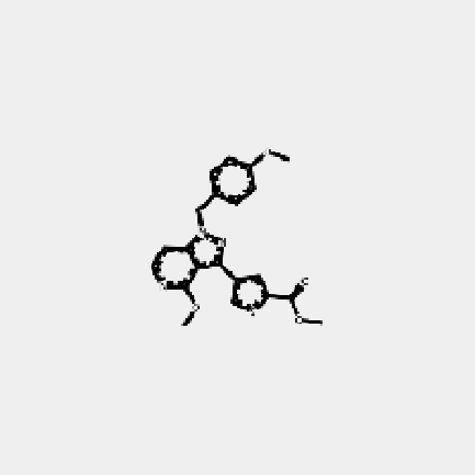 COC(=O)c1cc(-c2nn(Cc3ccc(OC)cc3)c3ccnc(OC)c23)cs1